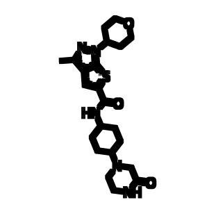 Cc1nn(C2CCOCC2)c2sc(C(=O)NC3CCC(N4CCNC(=O)C4)CC3)cc12